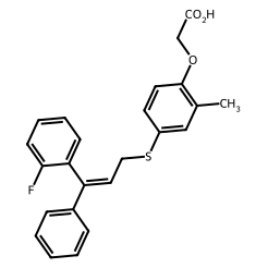 Cc1cc(SCC=C(c2ccccc2)c2ccccc2F)ccc1OCC(=O)O